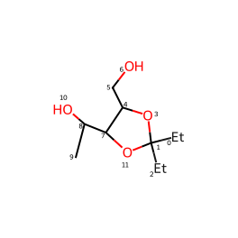 CCC1(CC)OC(CO)C(C(C)O)O1